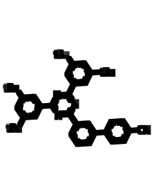 CC(C)(C)c1cc(-c2nc(-c3cccc(-c4ccc(C#N)cc4)c3)nc(-c3cc(C(C)(C)C)cc(C(C)(C)C)c3)n2)cc(C(C)(C)C)c1